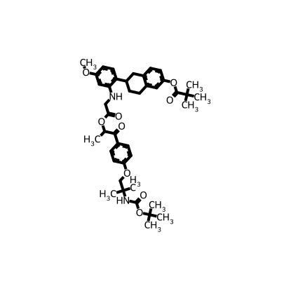 COc1ccc(C2CCc3cc(OC(=O)C(C)(C)C)ccc3C2)c(NCC(=O)OC(C)C(=O)c2ccc(OCC(C)(C)NC(=O)OC(C)(C)C)cc2)c1